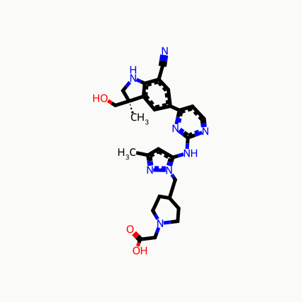 Cc1cc(Nc2nccc(-c3cc(C#N)c4c(c3)[C@@](C)(CO)CN4)n2)n(CC2CCN(CC(=O)O)CC2)n1